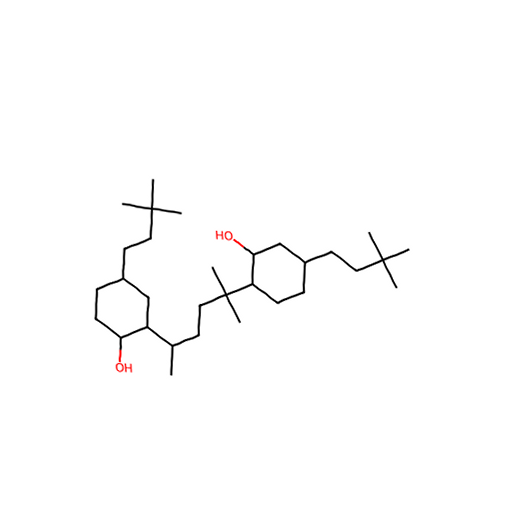 CC(CCC(C)(C)C1CCC(CCC(C)(C)C)CC1O)C1CC(CCC(C)(C)C)CCC1O